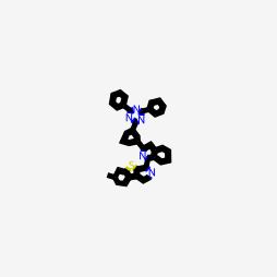 CC1C=c2sc3c(-c4nc(-c5cccc(-c6nc(-c7ccccc7)nc(-c7ccccc7)n6)c5)cc5ccccc45)nccc3c2=CC1